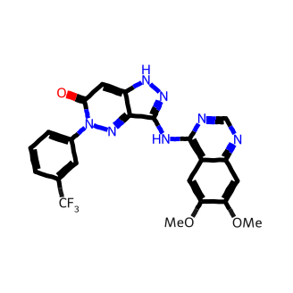 COc1cc2ncnc(Nc3n[nH]c4cc(=O)n(-c5cccc(C(F)(F)F)c5)nc34)c2cc1OC